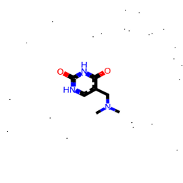 CN(C)Cc1c[nH]c(=O)[nH]c1=O